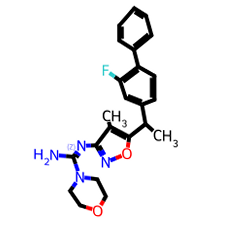 Cc1c(/N=C(/N)N2CCOCC2)noc1C(C)c1ccc(-c2ccccc2)c(F)c1